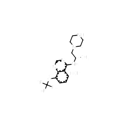 C[C@@H](CN1CCNCC1)Nc1ncnc2c(OC(F)(F)F)cccc12.Cl